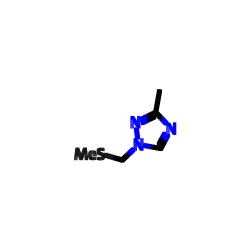 CSCn1cnc(C)n1